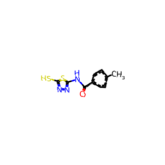 Cc1ccc(C(=O)Nc2nnc(S)s2)cc1